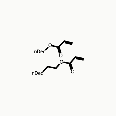 C=CC(=O)OCCCCCCCCCC.C=CC(=O)OCCCCCCCCCCCC